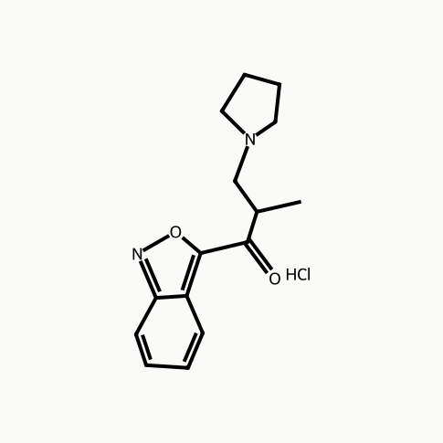 CC(CN1CCCC1)C(=O)c1onc2ccccc12.Cl